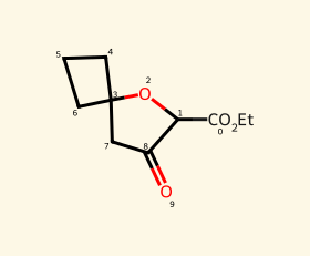 CCOC(=O)C1OC2(CCC2)CC1=O